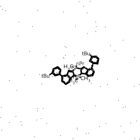 CCC[Si]1(C)C2=Cc3c(-c4cccc(C(C)(C)C)c4)cccc3[CH]2[Hf]([CH3])([CH3])[CH]2C1=Cc1c(-c3cccc(C(C)(C)C)c3)cccc12